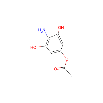 CC(=O)Oc1cc(O)c(N)c(O)c1